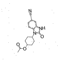 CC(=O)OC1CCC(n2c(=O)[nH]c3cc(C#N)ccc32)CC1